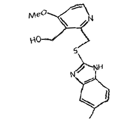 COc1ccnc(CSc2nc3cc(C)ccc3[nH]2)c1CO